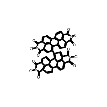 O=C1c2ccc3c4ccc5c6c(cc(-c7cc8c9c(ccc%10c%11ccc%12c%13c(ccc(c7c9%10)c%13%11)C(=O)N(Cl)C%12=O)C(=O)N(Cl)C8=O)c(c7ccc(c2c37)C(=O)N1Cl)c64)C(=O)N(Cl)C5=O